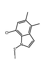 Cc1cc(Cl)c2c(ccn2SI)c1C